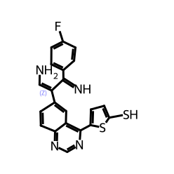 N=C(/C(=C\N)c1ccc2ncnc(-c3ccc(S)s3)c2c1)c1ccc(F)cc1